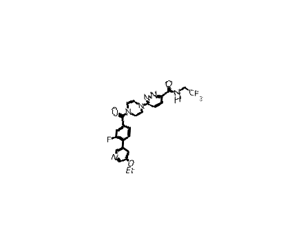 CCOc1cncc(-c2ccc(C(=O)N3CCN(c4ccc(C(=O)NCC(F)(F)F)nn4)CC3)cc2F)c1